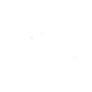 O=C(c1cc(O)ccc1F)c1c[nH]c2ncc(-c3cccs3)cc12